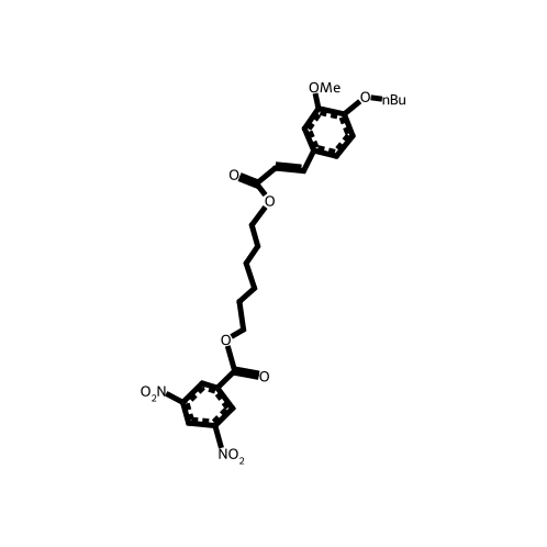 CCCCOc1ccc(C=CC(=O)OCCCCCCOC(=O)c2cc([N+](=O)[O-])cc([N+](=O)[O-])c2)cc1OC